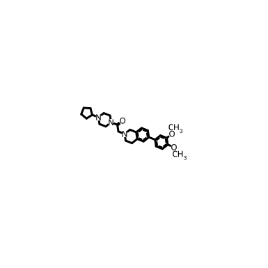 COc1ccc(-c2ccc3c(c2)CCN(CC(=O)N2CCN(C4CCCC4)CC2)C3)cc1OC